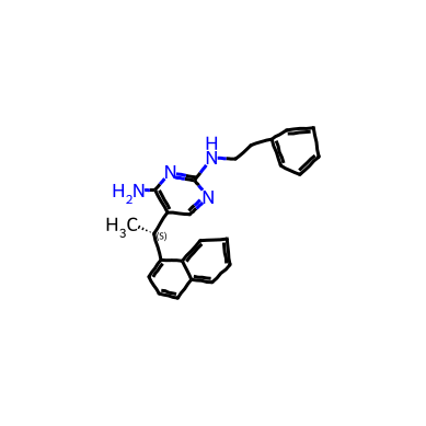 C[C@H](c1cnc(NCCc2ccccc2)nc1N)c1cccc2ccccc12